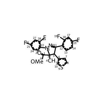 COC(=O)C1(C)C(c2ccsc2)C(c2ccc(F)cc2F)=NN1c1ccc(F)cc1F